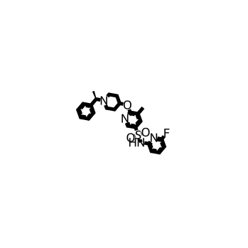 Cc1cc(S(=O)(=O)Nc2cccc(F)n2)cnc1OC1CCN([C@H](C)c2ccccc2)CC1